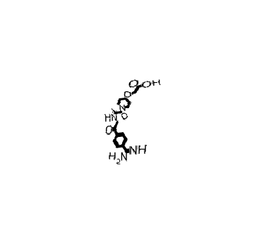 C[C@H](NCC(=O)c1ccc(C(=N)N)cc1)C(=O)N1CCC(OCC(=O)O)CC1